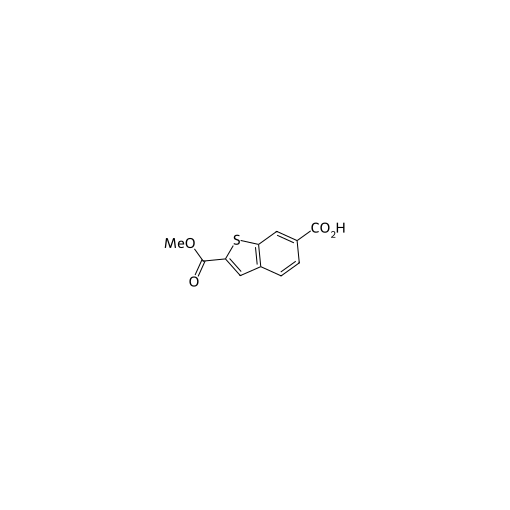 COC(=O)c1cc2ccc(C(=O)O)cc2s1